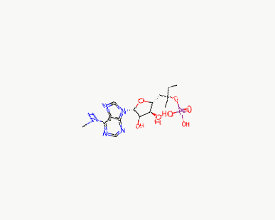 CCC(C)(C[C@H]1O[C@@H](n2cnc3c(NC)ncnc32)[C@H](O)[C@@H]1O)OP(=O)(O)O